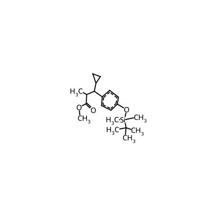 COC(=O)C(C)C(c1ccc(O[Si](C)(C)C(C)(C)C)cc1)C1CC1